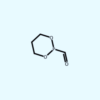 O=CP1OCCCO1